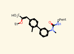 CCCCCNC(=O)N(C)c1cccc(-c2ccc(/C=C(\OCC)C(=O)O)cc2C)c1